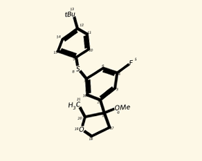 COC1(c2cc(F)cc(Sc3ccc(C(C)(C)C)cc3)c2)CCOC1C